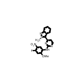 COc1cc(F)c([N+](=O)[O-])cc1Nc1nccc(-c2c3ccccc3nn2C)n1